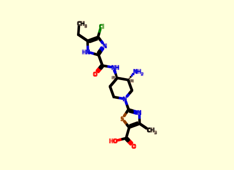 CCc1[nH]c(C(=O)N[C@@H]2CCN(c3nc(C)c(C(=O)O)s3)C[C@H]2N)nc1Cl